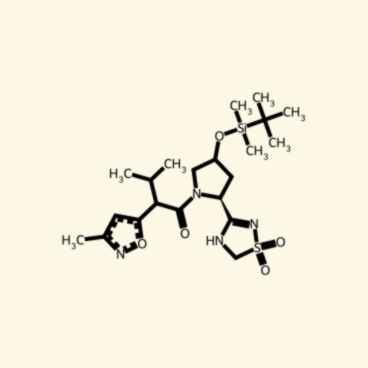 Cc1cc(C(C(=O)N2CC(O[Si](C)(C)C(C)(C)C)C[C@H]2C2=NS(=O)(=O)CN2)C(C)C)on1